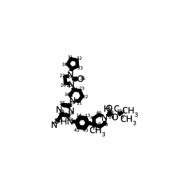 CC(C)(C)OC(=O)N1CCC(C)(c2ccc(Nc3nc(N4CCCC(N5CCN(C6CCCC6)C5=O)C4)cnc3C#N)cc2)CC1